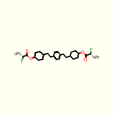 CCC[C@@H](F)C(=O)OC1CCC(CCc2ccc(CCC3CCC(OC(=O)[C@H](F)CCC)CC3)cc2)CC1